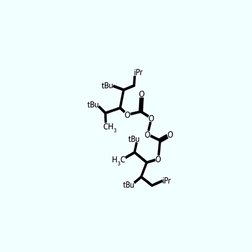 CC(C)CC(C(OC(=O)OOC(=O)OC(C(C)C(C)(C)C)C(CC(C)C)C(C)(C)C)C(C)C(C)(C)C)C(C)(C)C